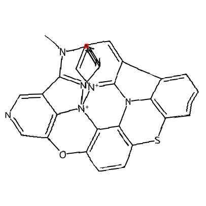 Cn1c2[n+](c3ccccc31)[N+]13c4c(cncc4-2)Oc2ccc4c(c21)-n1c2c(cccc2c2ccc[n+]3c21)S4